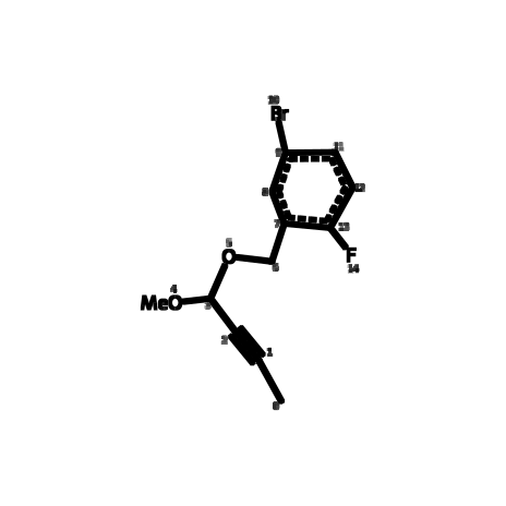 CC#CC(OC)OCc1cc(Br)ccc1F